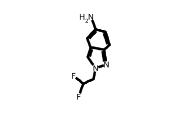 Nc1ccc2nn(CC(F)F)cc2c1